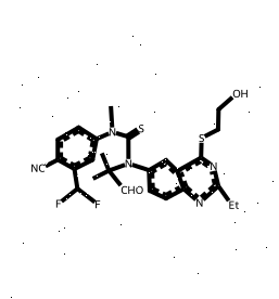 CCc1nc(SCCO)c2cc(N(C(=S)N(C)c3ccc(C#N)c(C(F)F)c3)C(C)(C)C=O)ccc2n1